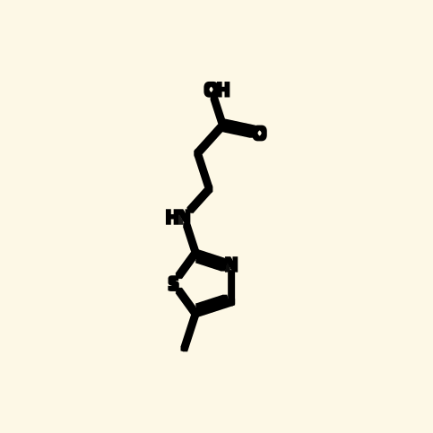 Cc1cnc(NCCC(=O)O)s1